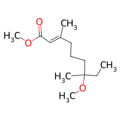 CCC(C)(CCCC(C)=CC(=O)OC)OC